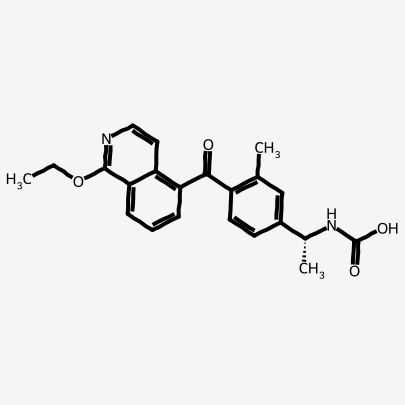 CCOc1nccc2c(C(=O)c3ccc([C@@H](C)NC(=O)O)cc3C)cccc12